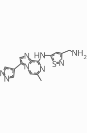 Cc1cn2c(-c3cn[nH]c3)cnc2c(Nc2cc(CN)ns2)n1